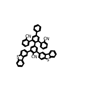 N#Cc1ccccc1-c1cc(-c2ccccc2)cc(-c2ccccc2C#N)c1-c1cc(-c2ccc3sc4ccccc4c3c2)c(C#N)c(-c2ccc3sc4ccccc4c3c2)c1